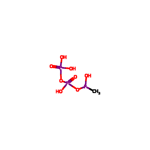 CP(O)OP(=O)(O)OP(=O)(O)O